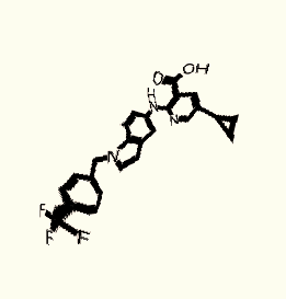 O=C(O)c1cc(C2CC2)cnc1Nc1ccc2c(ccn2Cc2ccc(C(F)(F)F)cc2)c1